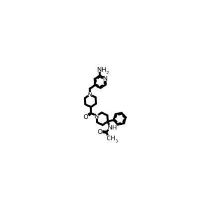 CC(=O)NC1(c2ccccc2)CCN(C(=O)C2CCN(Cc3ccnc(N)c3)CC2)CC1